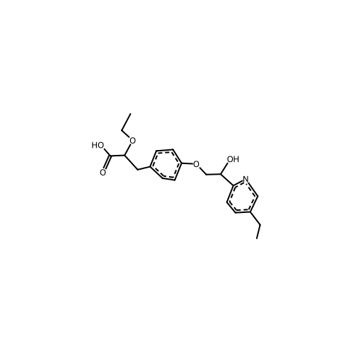 CCOC(Cc1ccc(OCC(O)c2ccc(CC)cn2)cc1)C(=O)O